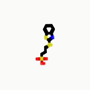 O=S(=O)(O)CCC=[SH]c1nc2ccccc2s1